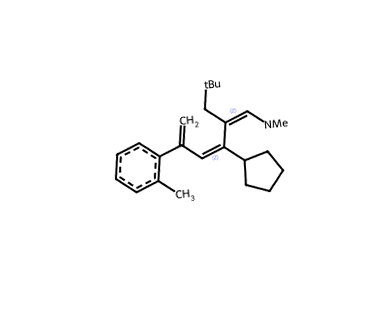 C=C(/C=C(\C(=C/NC)CC(C)(C)C)C1CCCC1)c1ccccc1C